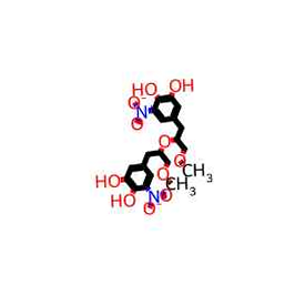 COCC(Cc1cc(O)c(O)c([N+](=O)[O-])c1)OC(COC)Cc1cc(O)c(O)c([N+](=O)[O-])c1